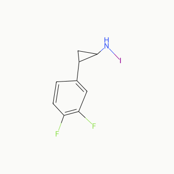 Fc1ccc(C2CC2NI)cc1F